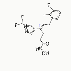 Cc1c(F)cccc1C/C=C(\CCC(=O)NO)c1cnn(C(F)F)c1